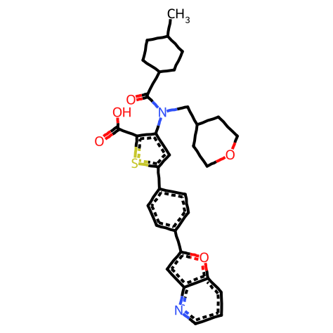 CC1CCC(C(=O)N(CC2CCOCC2)c2cc(-c3ccc(-c4cc5ncccc5o4)cc3)sc2C(=O)O)CC1